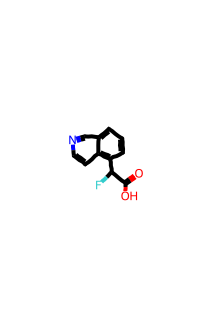 O=C(O)C(F)c1cccc2cnccc12